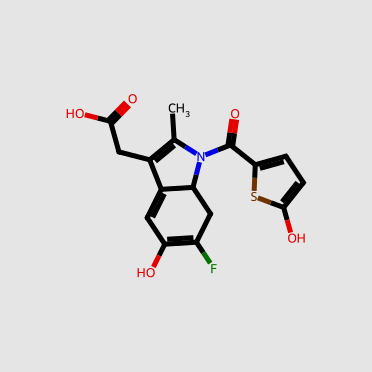 CC1=C(CC(=O)O)C2=CC(O)=C(F)CC2N1C(=O)c1ccc(O)s1